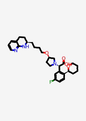 O=C(O)[C@H](c1cc(F)ccc1[C@@H]1CCCCO1)N1CC[C@@H](OCCCC[C@@H]2CCc3cccnc3N2)C1